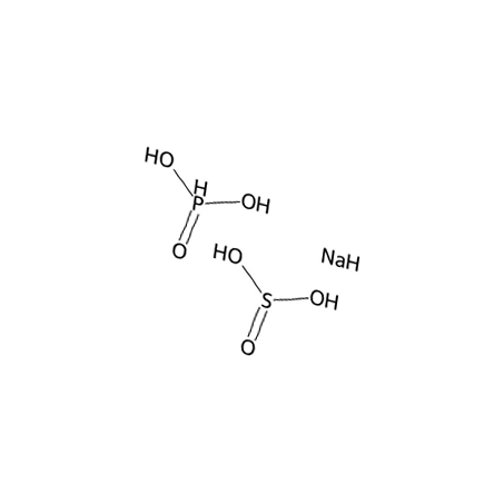 O=S(O)O.O=[PH](O)O.[NaH]